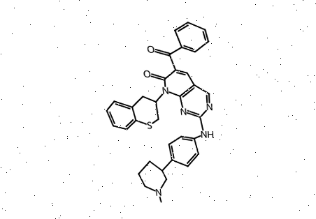 CN1CCCC(c2ccc(Nc3ncc4cc(C(=O)c5ccccc5)c(=O)n(C5CSc6ccccc6C5)c4n3)cc2)C1